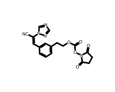 N#CC(=Cc1cccc(CCOC(=O)ON2C(=O)CCC2=O)c1)n1cncn1